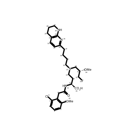 COc1cccc(Cl)c1CC(=O)N[C@@H](CCN(CCCCc1ccc2c(n1)NCCC2)C[C@@H](CF)OC)C(=O)O